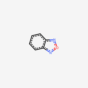 c1ccc2nonc2c1